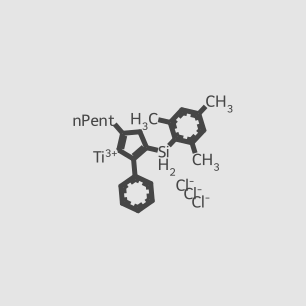 CCCCCC1=[C]([Ti+3])C(c2ccccc2)=C([SiH2]c2c(C)cc(C)cc2C)C1.[Cl-].[Cl-].[Cl-]